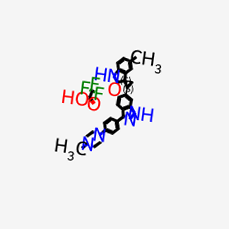 Cc1ccc2c(c1)[C@@]1(C[C@H]1c1ccc3c(-c4ccc(N5CCN(C)CC5)cc4)n[nH]c3c1)C(=O)N2.O=C(O)C(F)(F)F